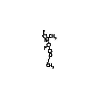 CCCCCCOc1ccc(-c2ccc(-c3cc(C)c4cc(F)ccc4n3)cc2F)cc1